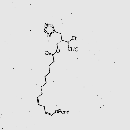 CCCCC/C=C\C/C=C\CCCCCCCC(=O)OC[C@H](Cc1cncn1C)[C@@H](C=O)CC